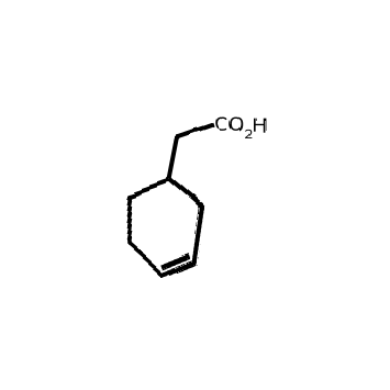 O=C(O)CC1CC=CCC1